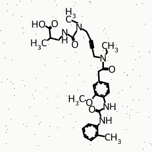 CCN(CC#CCN(CC)C(=O)NCC(C)C(=O)O)C(=O)Cc1ccc(NC(=O)Nc2ccccc2C)c(OC)c1